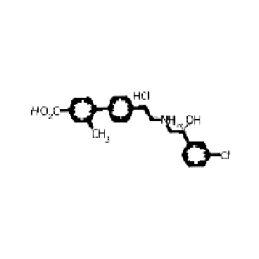 Cc1cc(C(=O)O)ccc1-c1ccc(CCNC[C@H](O)c2cccc(Cl)c2)cc1.Cl